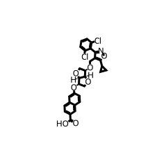 O=C(O)c1ccc2cc(O[C@@H]3CO[C@H]4[C@@H]3OC[C@H]4OCc3c(-c4c(Cl)cccc4Cl)noc3C3CC3)ccc2c1